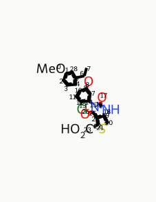 COc1cccc(C(C)Oc2ccc(Cl)c(-n3c(=O)[nH]c4csc(C(=O)O)c4c3=O)c2)c1